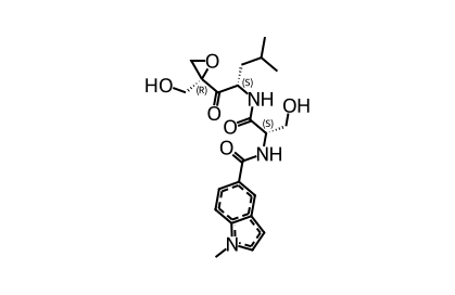 CC(C)C[C@H](NC(=O)[C@H](CO)NC(=O)c1ccc2c(ccn2C)c1)C(=O)[C@@]1(CO)CO1